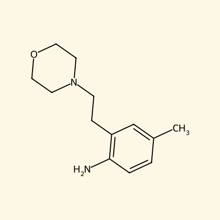 Cc1ccc(N)c(CCN2CCOCC2)c1